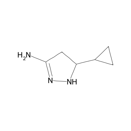 NC1=NNC(C2CC2)C1